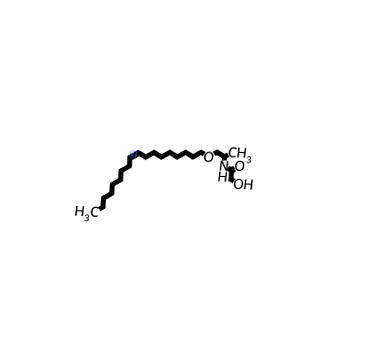 CCCCCCCC/C=C\CCCCCCCCOCC(C)NC(=O)CO